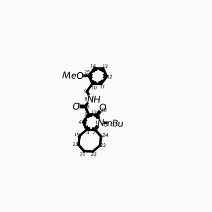 CCCCn1c2c(cc(C(=O)NCc3ccccc3OC)c1=O)CCCCCC2